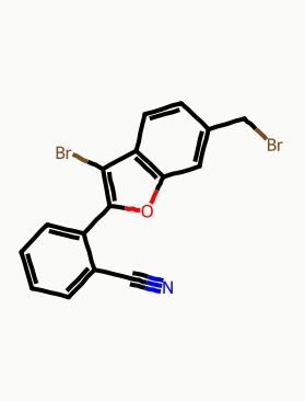 N#Cc1ccccc1-c1oc2cc(CBr)ccc2c1Br